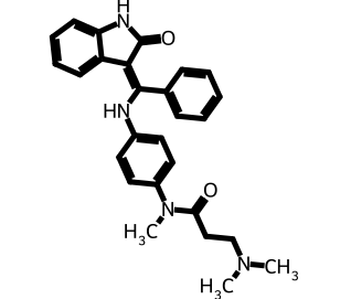 CN(C)CCC(=O)N(C)c1ccc(NC(=C2C(=O)Nc3ccccc32)c2ccccc2)cc1